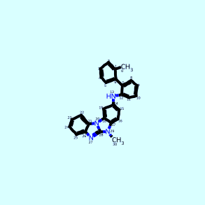 Cc1ccccc1-c1ccccc1Nc1ccc2c(c1)n1c3ccccc3nc1n2C